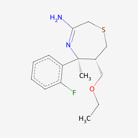 CCOC[C@H]1CSCC(N)=N[C@]1(C)c1ccccc1F